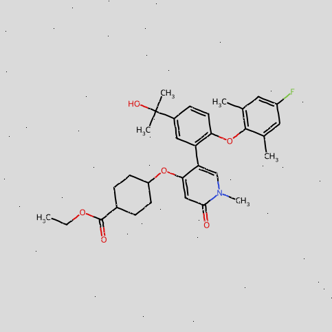 CCOC(=O)C1CCC(Oc2cc(=O)n(C)cc2-c2cc(C(C)(C)O)ccc2Oc2c(C)cc(F)cc2C)CC1